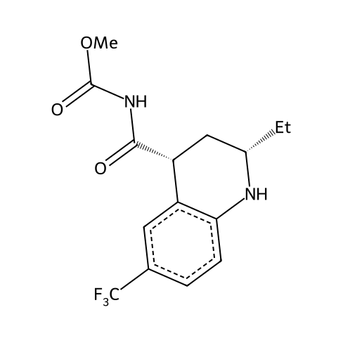 CC[C@H]1C[C@@H](C(=O)NC(=O)OC)c2cc(C(F)(F)F)ccc2N1